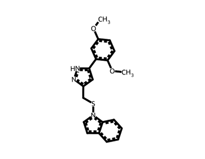 COc1ccc(OC)c(-c2cc(CSn3ccc4ccccc43)n[nH]2)c1